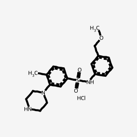 COCc1cccc(NS(=O)(=O)c2ccc(C)c(N3CCNCC3)c2)c1.Cl